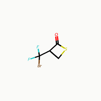 O=C1SCC1C(F)(F)Br